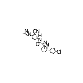 Cc1cn(-c2ccc(NC(=O)c3nnn4c3CCCC4c3ccc(Cl)cc3)cc2C#N)cn1